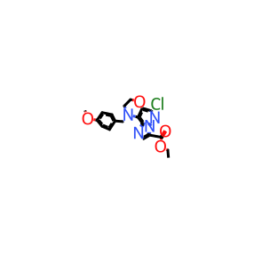 CCOC(=O)c1cnc2c3c(c(Cl)nn12)OCCN3Cc1ccc(OC)cc1